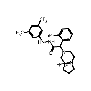 CC(C)c1ccccc1C(C(=O)NNc1cc(C(F)(F)F)cc(C(F)(F)F)c1)N1CCN2CCC[C@@H]2C1